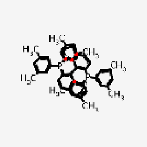 Cc1cc(C)cc(P(c2cc(C)cc(C)c2)c2ccc3c(c2-c2c(P(c4cc(C)cc(C)c4)c4cc(C)cc(C)c4)ccc4c2OCC4)OCC3)c1